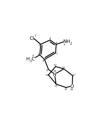 Cc1c(Cl)cc(N)cc1CN1C2CCC1COC2